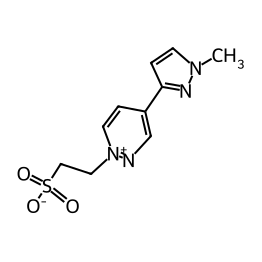 Cn1ccc(-c2cc[n+](CCS(=O)(=O)[O-])nc2)n1